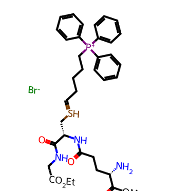 CCOC(=O)CNC(=O)[C@H](C[SH]=CCCCC[P+](c1ccccc1)(c1ccccc1)c1ccccc1)NC(=O)CC[C@H](N)C(=O)OC.[Br-]